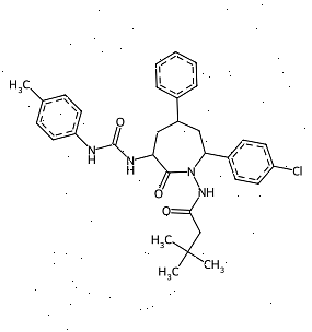 Cc1ccc(NC(=O)NC2CC(c3ccccc3)CC(c3ccc(Cl)cc3)N(NC(=O)CC(C)(C)C)C2=O)cc1